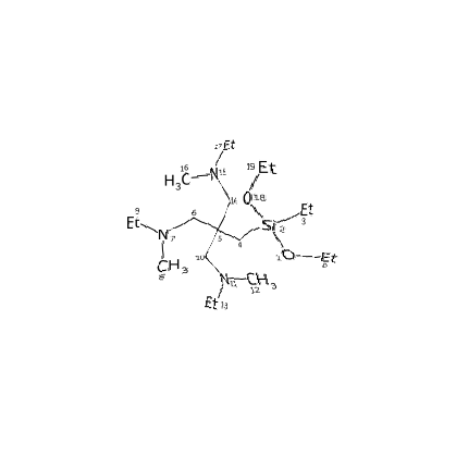 CCO[Si](CC)(CC(CN(C)CC)(CN(C)CC)CN(C)CC)OCC